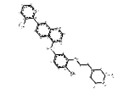 C[C@@H]1CN(CCOc2cc(Nc3ncnc4cc(-c5ncccc5C(F)(F)F)ccc34)ccc2C(C)(C)C)C[C@H](C)O1